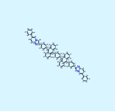 c1ccc(-c2ccc3nc(-c4ccc(-c5c6ccccc6c(-c6ccc(-c7c8ccccc8c(-c8ccc(-c9cn%10cc(-c%11ccccc%11)ccc%10n9)cc8)c8ccccc78)cc6)c6ccccc56)cc4)cn3c2)cc1